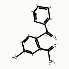 CC(=O)c1cc(O)ccc1C(=O)c1ccccc1